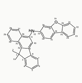 CC1(C)c2ccccc2-c2cc(Nc3ccc4c(c3)oc3ccccc34)c3ccccc3c21